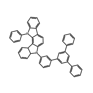 C1=CC2c3c(ccc4c5ccccc5n(-c5ccccc5)c34)N(c3cccc(-c4cc(-c5ccccc5)cc(-c5ccccc5)c4)c3)C2C=C1